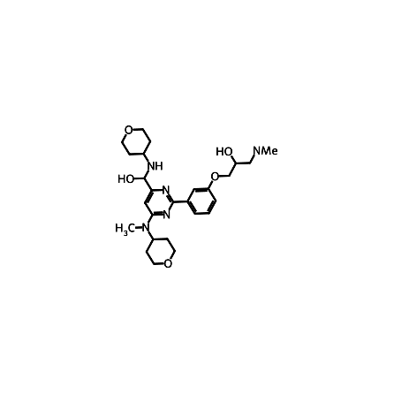 CNCC(O)COc1cccc(-c2nc(C(O)NC3CCOCC3)cc(N(C)C3CCOCC3)n2)c1